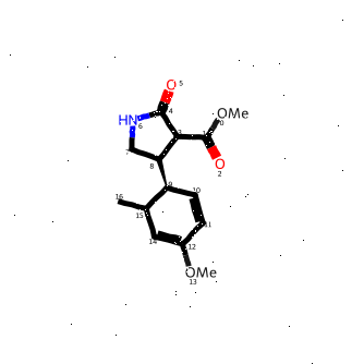 COC(=O)C1C(=O)NCC1[C@H]1C=CC(OC)=CC1C